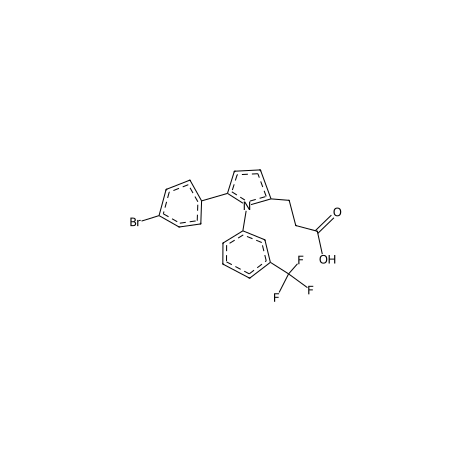 O=C(O)CCc1ccc(-c2ccc(Br)cc2)n1-c1cccc(C(F)(F)F)c1